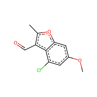 COc1cc(Cl)c2c(C=O)c(C)oc2c1